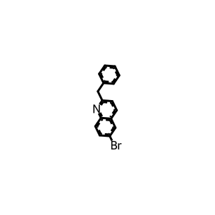 Brc1ccc2nc(Cc3ccccc3)ccc2c1